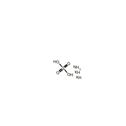 N.O=S(=O)(O)O.[KH].[KH]